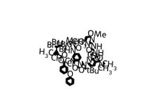 CC1(C)[C@H](C(=O)O[C@H](C#N)c2cccc(Oc3ccccc3)c2)[C@@H]1C(Br)C(Br)(Br)Br.CN(C)C(=O)Nc1ccc(-n2nc(C(C)(C)C)oc2=O)c(Cl)c1.COc1cc(OC)nc(NC(=O)NS(=O)(=O)c2ncccc2C(=O)N(C)C)n1